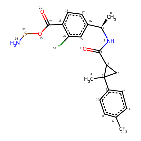 C[C@@H](NC(=O)C1CC1(C)c1ccc(C(F)(F)F)cc1)c1ccc(C(=O)OSN)c(F)c1